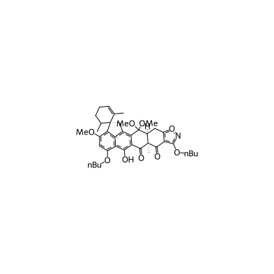 CCCCOc1noc2c1C(=O)[C@@]1(C)C(=O)c3c(c4c5c(c(OC)cc(OCCCC)c5c3O)[C@]3(C4)C(C)=CCCC3C)C(OC)(OC)[C@H]1C2